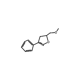 COCC1CC(c2ccccc2)=NO1